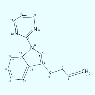 C=CCSc1cn(-c2ncccn2)c2ccccc12